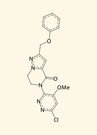 COc1cc(Cl)nnc1N1CCn2nc(COc3ccccc3)cc2C1=O